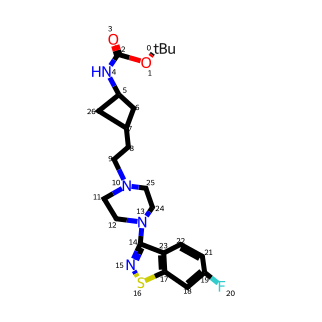 CC(C)(C)OC(=O)NC1CC(CCN2CCN(c3nsc4cc(F)ccc34)CC2)C1